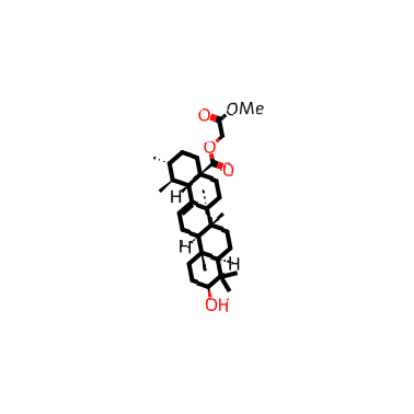 COC(=O)COC(=O)[C@]12CC[C@@H](C)[C@H](C)[C@H]1C1=CC[C@@H]3[C@@]4(C)CC[C@H](O)C(C)(C)[C@@H]4CC[C@@]3(C)[C@]1(C)CC2